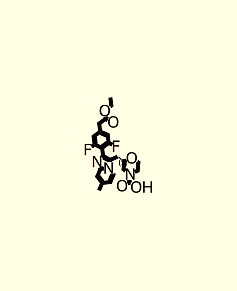 CCOC(=O)Cc1cc(F)c(-c2nc3cc(C)ccn3c2C[C@H]2CN(C(=O)O)CCO2)c(F)c1